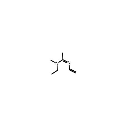 C=CN=C(C)N(C)CC